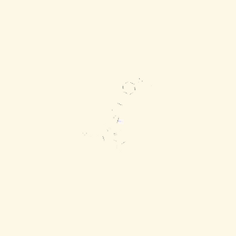 COC(=O)[C@H]1CC[C@@H](OC(=O)Oc2ccc([N+](=O)[O-])cc2)/C=C/C[C@@H]1NC(=O)OCCS(C)(C)C